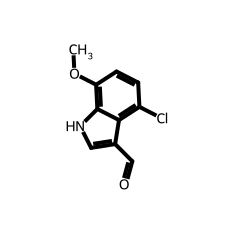 COc1ccc(Cl)c2c(C=O)c[nH]c12